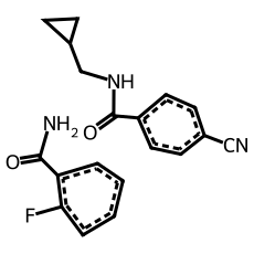 N#Cc1ccc(C(=O)NCC2CC2)cc1.NC(=O)c1ccccc1F